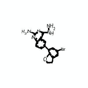 NNc1nc(N)nc2ccc(-c3cc(Br)cc4c3OCC4)cc12